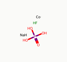 F.O=P(O)(O)O.[Co].[NaH]